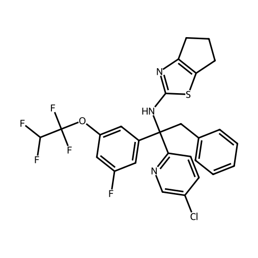 Fc1cc(OC(F)(F)C(F)F)cc(C(Cc2ccccc2)(Nc2nc3c(s2)CCC3)c2ccc(Cl)cn2)c1